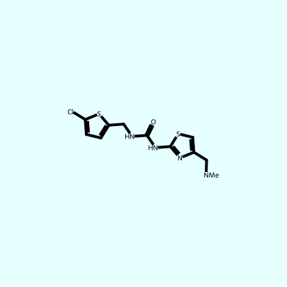 CNCc1csc(NC(=O)NCc2ccc(Cl)s2)n1